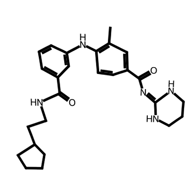 Cc1cc(C(=O)N=C2NCCCN2)ccc1Nc1cccc(C(=O)NCCC2CCCC2)c1